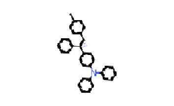 Cc1ccc(/C=C(\c2ccccc2)c2ccc(N(c3ccccc3)c3ccccc3)cc2)cc1